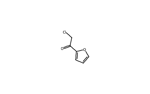 O=C(CCl)c1ccco1